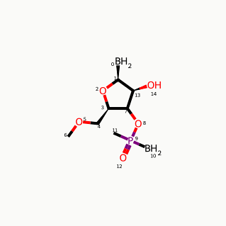 B[C@@H]1O[C@H](COC)C(OP(B)(C)=O)[C@@H]1O